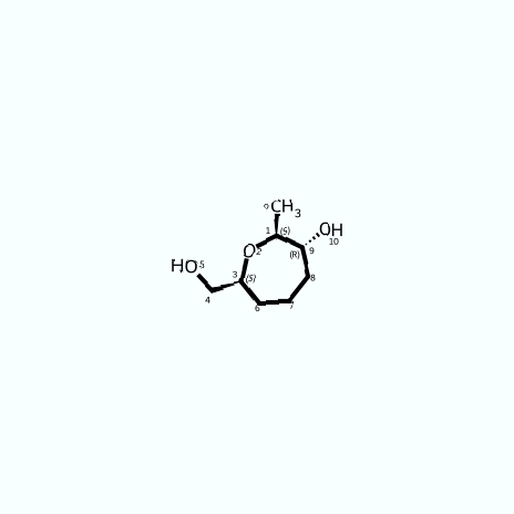 C[C@@H]1O[C@H](CO)CCC[C@H]1O